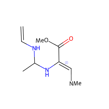 C=CNC(C)N/C(=C\NC)C(=O)OC